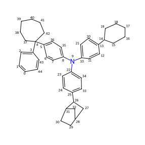 c1ccc(C2(c3ccc(N(c4ccc(C5CCCCC5)cc4)c4ccc(C5CC6CCC5C6)cc4)cc3)CCCCCC2)cc1